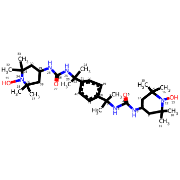 CC(C)(NC(=O)NC1CC(C)(C)N(O)C(C)(C)C1)c1ccc(C(C)(C)NC(=O)NC2CC(C)(C)N(O)C(C)(C)C2)cc1